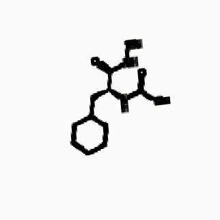 CC(C)(C)NC(=O)[C@H](CC1CCCCC1)NC(=O)C(C)(C)C